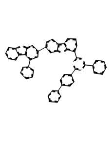 c1ccc(-c2ccc(-c3nc(-c4ccccc4)nc(-c4cccc5c4oc4cc(-c6cc(-c7ccccc7)c7c(c6)sc6ccccc67)ccc45)n3)cc2)cc1